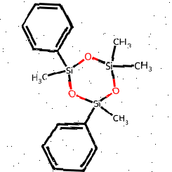 C[Si]1(C)O[Si](C)(c2ccccc2)O[Si](C)(c2ccccc2)O1